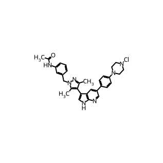 CC(=O)Nc1cccc(Cn2nc(C)c(-c3c[nH]c4ncc(-c5ccc(N6CCN(Cl)CC6)cc5)cc34)c2C)c1